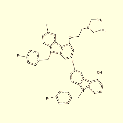 CCN(CC)CCOc1cccc2c1c1cc(F)ccc1n2Cc1ccc(F)cc1.Oc1cccc2c1c1cc(F)ccc1n2Cc1ccc(F)cc1